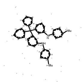 CC(C)(C)c1ccc(Nc2cccc(C(c3ccccc3)(c3ccccc3)c3cccc(Nc4ccc(C(C)(C)C)cc4)c3)c2)cc1